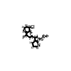 Fc1cc(-c2cn(SOI)c3ncccc23)cc2c(Cl)ccnc12